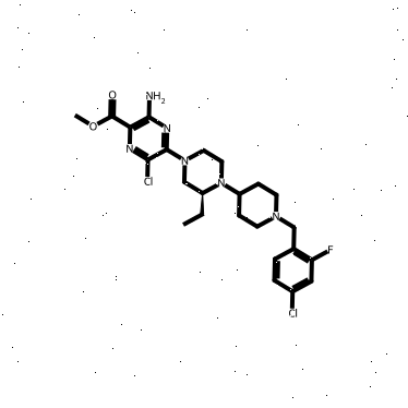 CC[C@H]1CN(c2nc(N)c(C(=O)OC)nc2Cl)CCN1C1CCN(Cc2ccc(Cl)cc2F)CC1